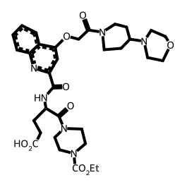 CCOC(=O)N1CCN(C(=O)C(CCC(=O)O)NC(=O)c2cc(OCC(=O)N3CCC(N4CCOCC4)CC3)c3ccccc3n2)CC1